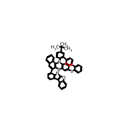 CC(C)(C)c1ccc(N2c3cc4c(cc3B3c5c(cc6ccccc6c52)-c2cccc5c6c7ccccc7oc6n3c25)Sc2ccccc2S4)c(-c2ccccc2)c1